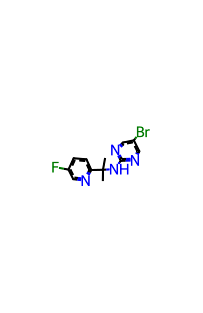 CC(C)(Nc1ncc(Br)cn1)c1ccc(F)cn1